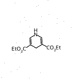 CCOC(=O)C1=CNC=C(C(=O)OCC)C1